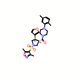 Cc1ccc(C)c(N2CCN(C(=O)[C@@H]3CN(S(=O)(=O)c4c(C)noc4C)C[C@H]3c3ccoc3)CC2)c1